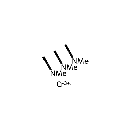 C[N-]C.C[N-]C.C[N-]C.[Cr+3]